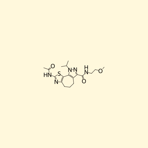 COCCNC(=O)c1nn(C(C)C)c2c1CCCc1nc(NC(C)=O)sc1-2